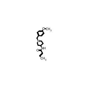 CC=CC(=O)NC1CCN(Cc2ccc(OC)cc2)CC1